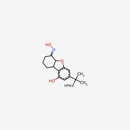 CCCCCCC(C)(C)c1cc(O)c2c(c1)OC1/C(=N/O)CCCC21